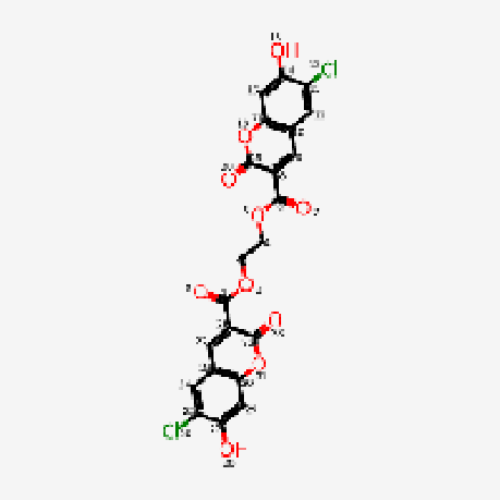 O=C(OCCOC(=O)c1cc2cc(Cl)c(O)cc2oc1=O)c1cc2cc(Cl)c(O)cc2oc1=O